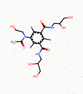 CC(=O)N(CCO)c1c(I)c(C(=O)NCC(O)CO)c(I)c(C(=O)NCC(O)CO)c1I